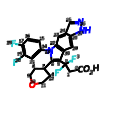 O=C(O)CC(F)(F)c1c(C2CCOCC2)n(-c2ccc(F)c(F)c2)c2cc3cn[nH]c3cc12